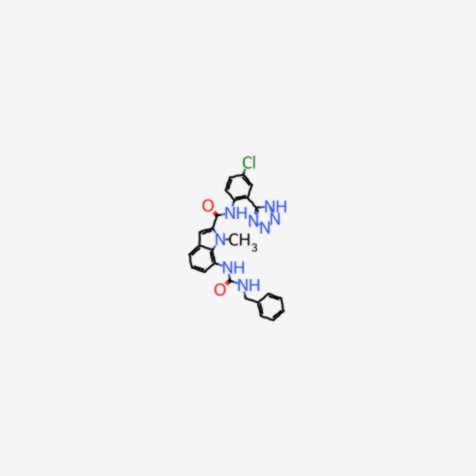 Cn1c(C(=O)Nc2ccc(Cl)cc2-c2nnn[nH]2)cc2cccc(NC(=O)NCc3ccccc3)c21